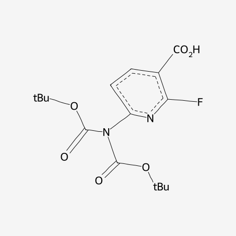 CC(C)(C)OC(=O)N(C(=O)OC(C)(C)C)c1ccc(C(=O)O)c(F)n1